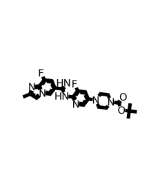 Cc1cn2cc(C(=N)Nc3ncc(N4CCN(C(=O)OC(C)(C)C)CC4)cc3F)cc(F)c2n1